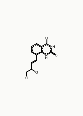 O=c1[nH]c(=O)c2cccc(C=CC(Cl)CCl)c2[nH]1